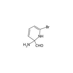 NC1(C=O)C=CC=C(Br)N1